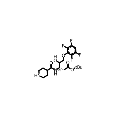 CC(C)(C)OC(=O)C[C@H](NC(=O)C1CCNCC1)C(O)COc1c(F)c(F)cc(F)c1F